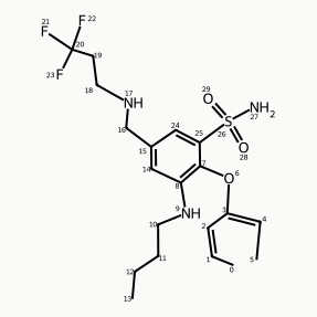 C/C=C\C(=C/C)Oc1c(NCCCC)cc(CNCCC(F)(F)F)cc1S(N)(=O)=O